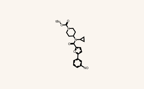 CC(C)(C)OC(=O)N1CCC(N(C(=O)c2ccc(-c3cccc(N=O)c3)o2)C2CC2)CC1